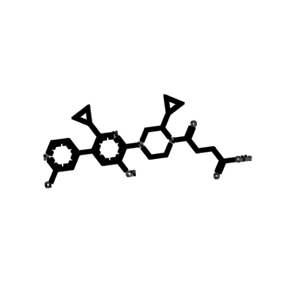 COC(=O)CCC(=O)N1CCN(c2nc(C3CC3)c(-c3ccnc(Cl)c3)cc2C#N)CC1C1CC1